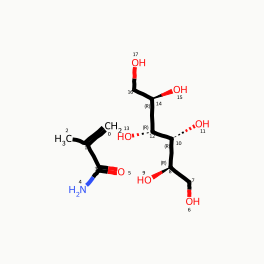 C=C(C)C(N)=O.OC[C@@H](O)[C@@H](O)[C@H](O)[C@H](O)CO